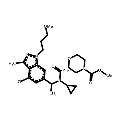 COCCCn1nc(C)c2c(Cl)cc(C(C)N(C(=O)[C@H]3CN(C(=O)OC(C)(C)C)CCO3)C3CC3)cc21